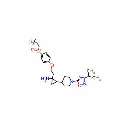 CC[S+]([O-])c1ccc(OCCC2(N)CC2C2CCN(c3nc(C(C)C)no3)CC2)cc1